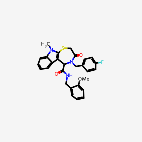 COc1ccccc1CNC(=O)C1c2c(n(C)c3ccccc23)SCC(=O)N1Cc1ccc(F)cc1